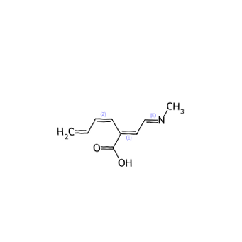 C=C\C=C/C(=C\C=N\C)C(=O)O